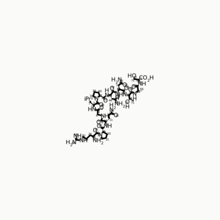 CC(C)C[C@H](NC(=O)CNC(=O)[C@H](CCC(N)=O)NC(=O)[C@@H]1CCCN1C(=O)[C@@H](N)CCCNC(=N)N)C(=O)N1CCC[C@H]1C(=O)N[C@@H](CC(N)=O)C(=O)N[C@@H](CC(N)=O)C(=O)N[C@H](C(=O)N[C@@H](C)C(=O)N[C@@H](CO)C(=O)O)[C@@H](C)O